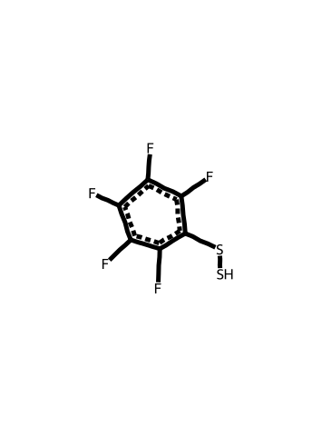 Fc1c(F)c(F)c(SS)c(F)c1F